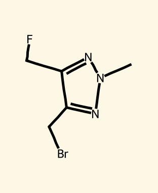 Cn1nc(CF)c(CBr)n1